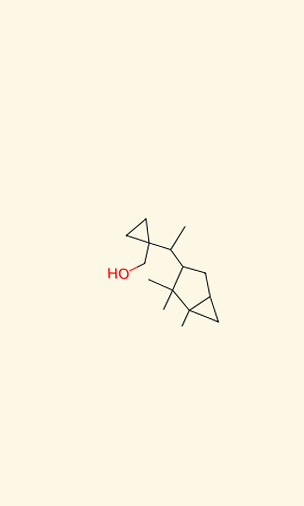 CC(C1CC2CC2(C)C1(C)C)C1(CO)CC1